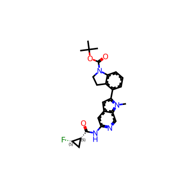 Cn1c(-c2cccc3c2CCN3C(=O)OC(C)(C)C)cc2cc(NC(=O)[C@@H]3C[C@@H]3F)ncc21